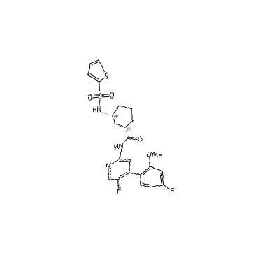 COc1cc(F)ccc1-c1cc(NC(=O)[C@H]2CCC[C@@H](NS(=O)(=O)c3cccs3)C2)ncc1F